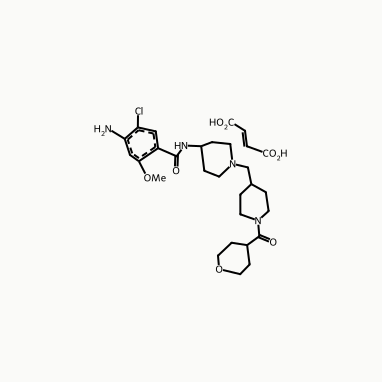 COc1cc(N)c(Cl)cc1C(=O)NC1CCN(CC2CCN(C(=O)C3CCOCC3)CC2)CC1.O=C(O)/C=C/C(=O)O